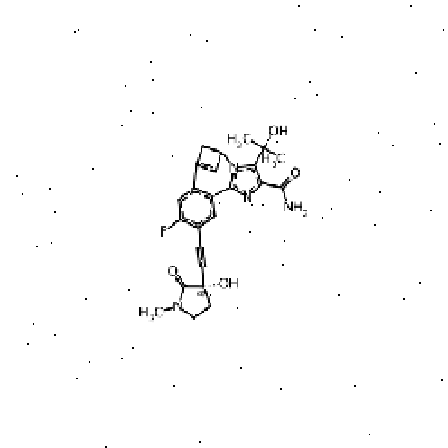 CN1CC[C@](O)(C#Cc2cc3c(cc2F)C2=CC(C2)n2c-3nc(C(N)=O)c2C(C)(C)O)C1=O